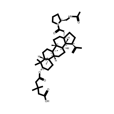 C=C(C)[C@@H]1CC[C@]2(CC(=O)N3CCC[C@H]3CNC(C)=O)CC[C@]3(C)[C@H](CC[C@@H]4[C@@]5(C)CC[C@H](OC(=O)CC(C)(C)CC(=O)O)C(C)(C)[C@@H]5CC[C@]43C)[C@@H]12